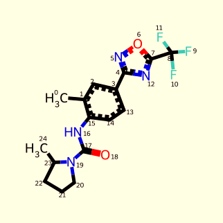 Cc1cc(-c2noc(C(F)(F)F)n2)ccc1NC(=O)N1CCCC1C